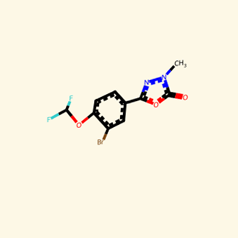 Cn1nc(-c2ccc(OC(F)F)c(Br)c2)oc1=O